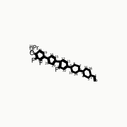 C=CC1CCC(C2CCC(c3ccc(-c4ccc(-c5ccc(OCCC)c(F)c5F)cc4)c(F)c3)CC2)CC1